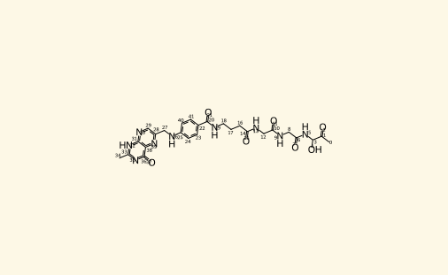 CC(=O)C(O)NC(=O)CNC(=O)CNC(=O)CCCNC(=O)c1ccc(NCc2cnc3[nH]c(C)nc(=O)c3n2)cc1